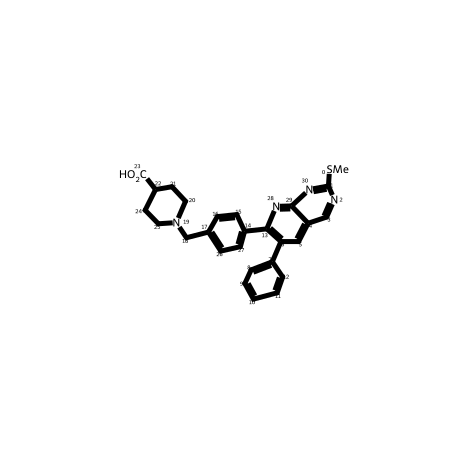 CSc1ncc2cc(-c3ccccc3)c(-c3ccc(CN4CCC(C(=O)O)CC4)cc3)nc2n1